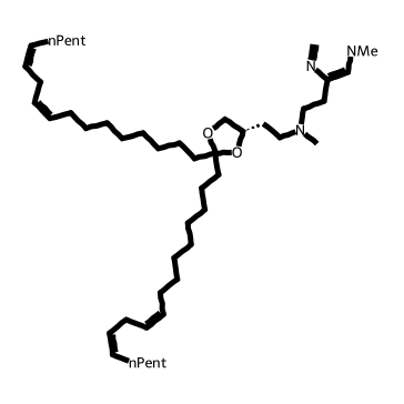 C=N/C(=C\NC)CCN(C)CC[C@H]1COC(CCCCCCCC/C=C\C/C=C\CCCCC)(CCCCCCCC/C=C\C/C=C\CCCCC)O1